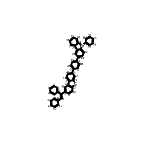 C(=C(/c1ccccc1)c1ccc2sc3cc(-c4ccc(-c5ccc6c(c5)c5ccccc5n6-c5ccccc5)cc4)ccc3c2c1)/c1ccccc1